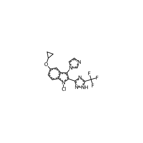 FC(F)(F)c1nc(-c2c(-n3ccnc3)c3cc(OC4CC4)ccc3n2Cl)n[nH]1